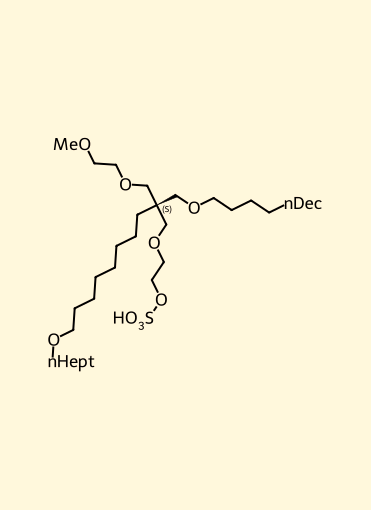 CCCCCCCCCCCCCCOC[C@@](CCCCCCCCOCCCCCCC)(COCCOC)COCCOS(=O)(=O)O